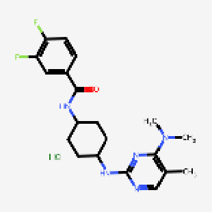 Cc1cnc(NC2CCC(NC(=O)c3ccc(F)c(F)c3)CC2)nc1N(C)C.Cl